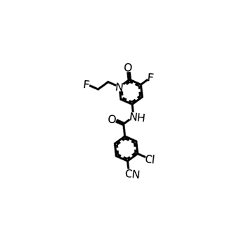 N#Cc1ccc(C(=O)Nc2cc(F)c(=O)n(CCF)c2)cc1Cl